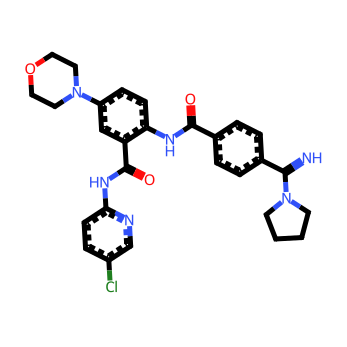 N=C(c1ccc(C(=O)Nc2ccc(N3CCOCC3)cc2C(=O)Nc2ccc(Cl)cn2)cc1)N1CCCC1